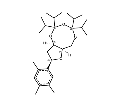 Cc1cc(C)c([C@H]2C[C@H]3O[Si](C(C)C)(C(C)C)O[Si](C(C)C)(C(C)C)OC[C@H]3O2)cc1C